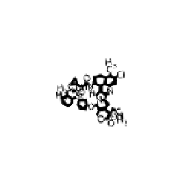 CC[C@@]1(O)C(=O)OCc2c1cc1n(c2=O)Cc2c-1nc1cc(Cl)c(C)c3c1c2[C@@H](NC(=O)C(O[Si](c1ccccc1)(c1ccccc1)C(C)(C)C)C1CC1)CC3